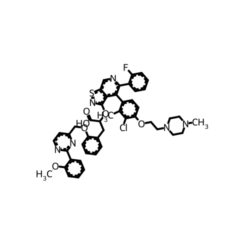 COc1ccccc1-c1nccc(COc2ccccc2CC(Oc2nsc3cnc(-c4ccccc4F)c(-c4ccc(OCCN5CCN(C)CC5)c(Cl)c4C)c23)C(=O)O)n1